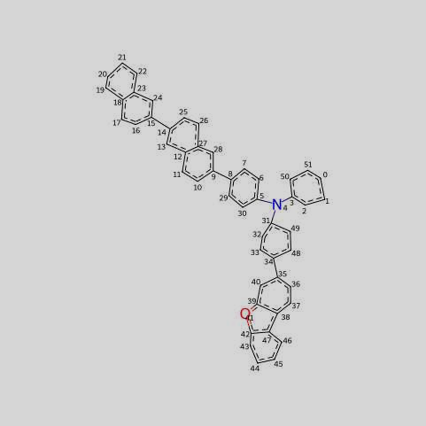 c1ccc(N(c2ccc(-c3ccc4cc(-c5ccc6ccccc6c5)ccc4c3)cc2)c2ccc(-c3ccc4c(c3)oc3ccccc34)cc2)cc1